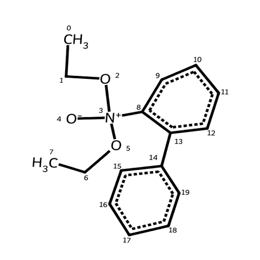 CCO[N+]([O-])(OCC)c1ccccc1-c1ccccc1